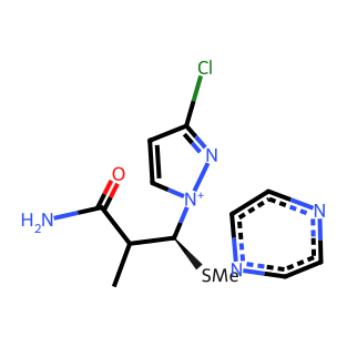 CS[C@@H](C(C)C(N)=O)[N@+]1(c2cnccn2)C=CC(Cl)=N1